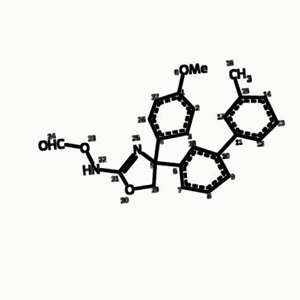 COc1ccc(C2(c3cccc(-c4cccc(C)c4)c3)COC(NOC=O)=N2)cc1